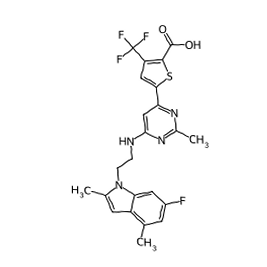 Cc1nc(NCCn2c(C)cc3c(C)cc(F)cc32)cc(-c2cc(C(F)(F)F)c(C(=O)O)s2)n1